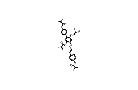 C=C(C)C(=O)Oc1ccc(/C=C/COc2cc(OC=C(F)F)c(-c3ccc(OC(=O)C(=C)C)cc3)cc2OC(=O)C(=C)C)cc1